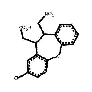 O=C(O)CC1c2cc(Cl)ccc2Oc2ccccc2C1C[N+](=O)[O-]